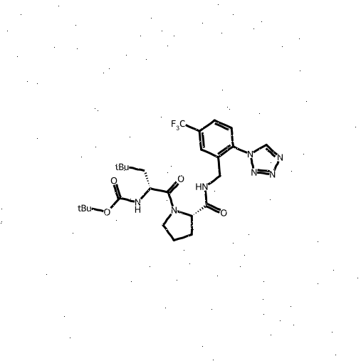 CC(C)(C)C[C@@H](NC(=O)OC(C)(C)C)C(=O)N1CCC[C@H]1C(=O)NCc1cc(C(F)(F)F)ccc1-n1cnnn1